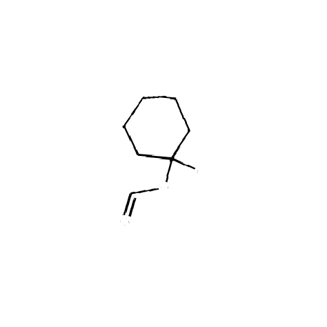 [O]C1(OC=O)CCCCC1